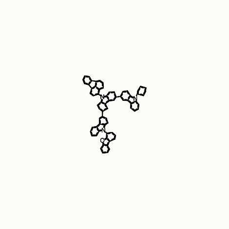 c1ccc(-n2c3ccccc3c3cc(-c4ccc5c(c4)c4cc(-c6ccc7c(c6)c6ccccc6n7-c6cccc7c6oc6ccccc67)ccc4n5-c4ccc5c6c(cccc46)-c4ccccc4-5)ccc32)cc1